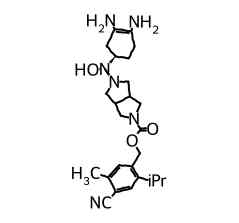 Cc1cc(COC(=O)N2CC3CN(N(O)[C@@H]4CCC(N)=C(N)C4)CC3C2)c(C(C)C)cc1C#N